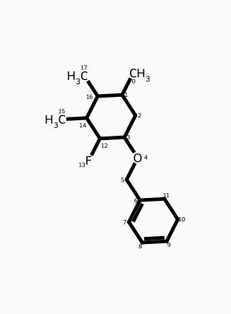 CC1CC(OCC2=CC=CCC2)C(F)C(C)C1C